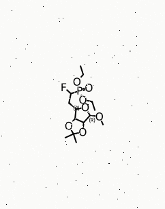 CCOP(=O)(OCC)C(F)C[C@H]1O[C@@H](OC)C2OC(C)(C)OC21